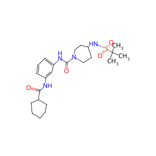 CC(C)(C)S(=O)(=O)NC1CCN(C(=O)Nc2cccc(NC(=O)C3CCCCC3)c2)CC1